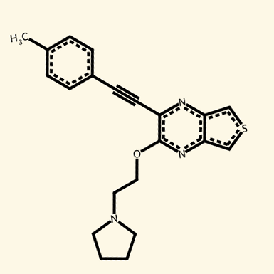 Cc1ccc(C#Cc2nc3cscc3nc2OCCN2CCCC2)cc1